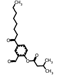 CCCCCCCC(=O)c1ccc(OC(=O)CC(C)C)c(C=O)c1